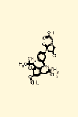 COc1cc2c(c3c1OC(C)(C)C3)C(c1cccc(N3C(=O)CN(CC(=O)O)C3=O)c1)=NC(C)(C)C2